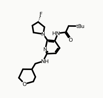 CC(C)(C)CC(=O)Nc1ccc(NCC2CCOCC2)nc1N1CC[C@H](F)C1